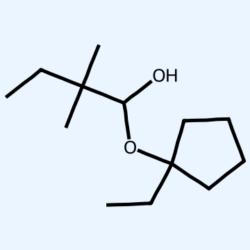 CCC1(OC(O)C(C)(C)CC)CCCC1